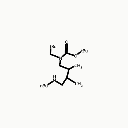 CCCCNCC(C)C(C)CN(CC(C)(C)C)C(=O)OC(C)(C)C